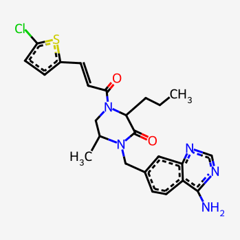 CCCC1C(=O)N(Cc2ccc3c(N)ncnc3c2)C(C)CN1C(=O)C=Cc1ccc(Cl)s1